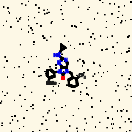 COc1cccc(-n2c(=O)n(Cc3ccccc3C(F)(F)F)c3cnc(NC4CC4)nc32)c1